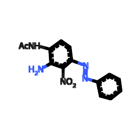 CC(=O)Nc1ccc(N=Nc2ccccc2)c([N+](=O)[O-])c1N